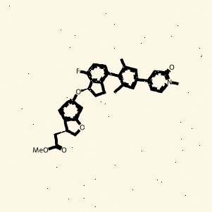 COC(=O)C[C@@H]1COc2cc(O[C@@H]3CCc4c(-c5c(C)cc(-c6ccn(C)c(=O)c6)cc5C)ccc(F)c43)ccc21